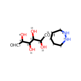 C1CCNNCC1.O=CC(O)C(O)C(O)C(O)C(=O)O